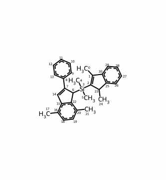 CC1=C([Si](C)(C)C2C(c3ccccc3)=Cc3c(C)ccc(C)c32)C(C)c2ccccc21